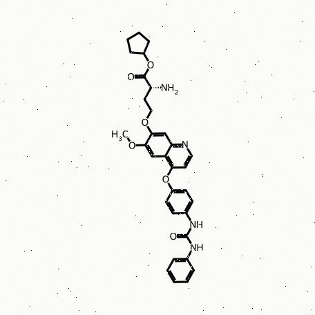 COc1cc2c(Oc3ccc(NC(=O)Nc4ccccc4)cc3)ccnc2cc1OCC[C@@H](N)C(=O)OC1CCCC1